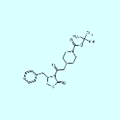 CC(C)(C)OC(=O)N1CCC(CC(=O)N2C(=O)OCC2Cc2ccccc2)CC1